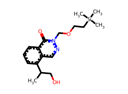 CC(CO)c1cccc2c(=O)n(COCC[Si](C)(C)C)ncc12